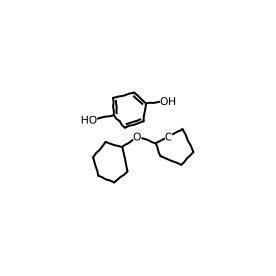 C1CCC(OC2CCCCC2)CC1.Oc1ccc(O)cc1